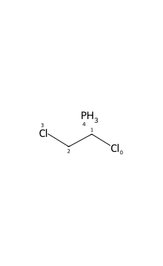 ClCCCl.P